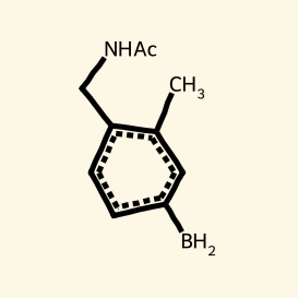 Bc1ccc(CNC(C)=O)c(C)c1